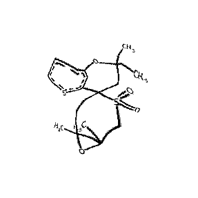 CC1(C)CC2(CC3(C)OC3(C)CS2(=O)=O)c2sccc2O1